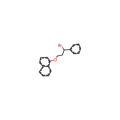 BrC(CCOc1cccc2ccccc12)c1ccccc1